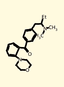 CCC(Cc1ccc(C(=O)c2ccccc2N2CCOCC2)cc1)N(C)C